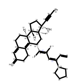 C=C/C(=C\C(F)=C(/F)[C@H]1C[C@@]2(C)[C@@H](CC[C@@]2(O)C#CC(C)C)[C@@H]2CCC3=CC(=O)CCC3=C21)N1CCCC1